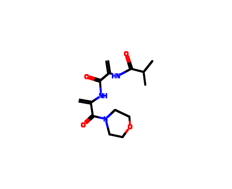 C=C(NC(=O)C(C)C)C(=O)NC(=C)C(=O)N1CCOCC1